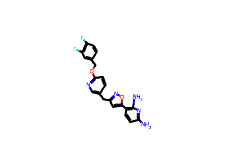 Nc1ccc(-c2cc(Cc3ccc(OCc4ccc(F)c(F)c4)nc3)no2)c(N)n1